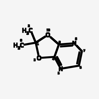 CC1(C)Oc2nccnc2O1